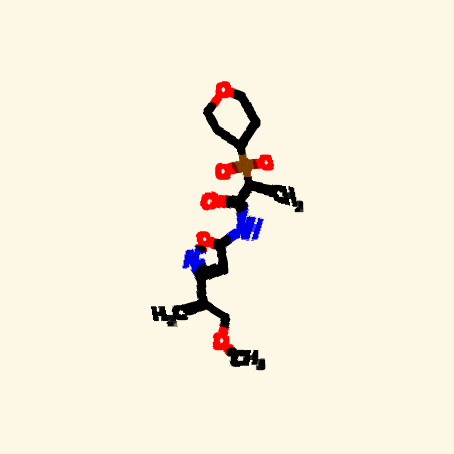 C=C(COC)c1cc(NC(=O)C(=C)S(=O)(=O)C2CCOCC2)on1